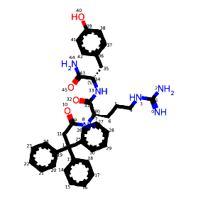 N=C(N)NCCC[C@@H](NC(=O)CC(c1ccccc1)(c1ccccc1)c1ccccc1)C(=O)N[C@@H](Cc1ccc(O)cc1)C(N)=O